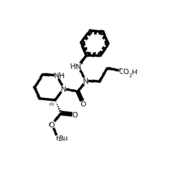 CC(C)(C)OC(=O)[C@@H]1CCCNN1C(=O)N(CCC(=O)O)Nc1ccccc1